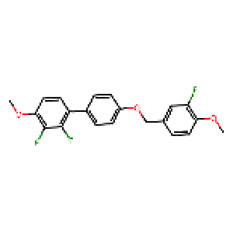 COc1ccc(COc2ccc(-c3ccc(OC)c(F)c3F)cc2)cc1F